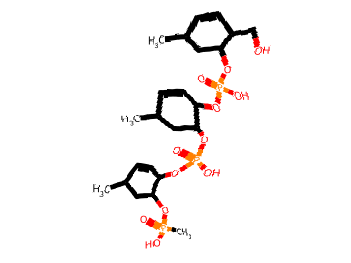 CC1C=CC(CO)C(OP(=O)(O)OC2C=CC(C)CC2OP(=O)(O)OC2C=CC(C)CC2OP(C)(=O)O)C1